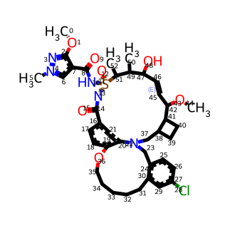 COc1nn(C)cc1C(=O)NS1(=O)=NC(=O)c2ccc3c(c2)N(Cc2ccc(Cl)cc2CCCCCO3)CC2CCC2C(OC)/C=C/C(O)C(C)C1C